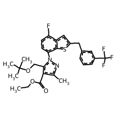 CCOC(=O)c1c(C)nn(-c2ccc(F)c3cc(Cc4cccc(C(F)(F)F)c4)sc23)c1COC(C)(C)C